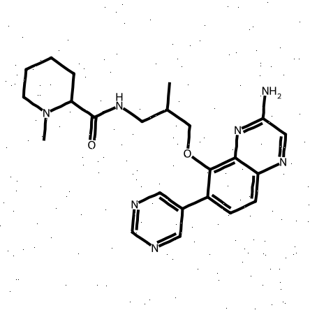 CC(CNC(=O)C1CCCCN1C)COc1c(-c2cncnc2)ccc2ncc(N)nc12